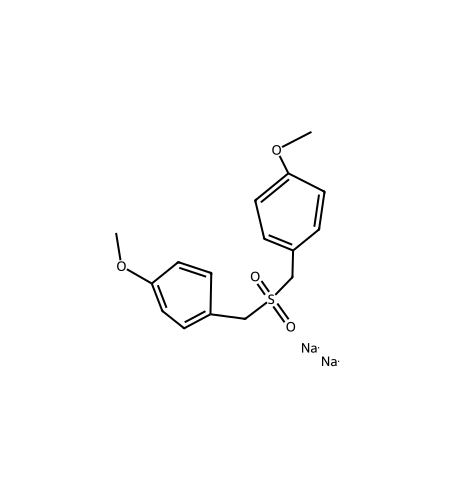 COc1ccc(CS(=O)(=O)Cc2ccc(OC)cc2)cc1.[Na].[Na]